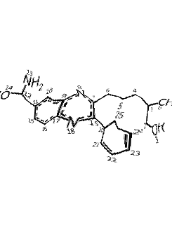 CC(CO)CCCc1nc2cc(C(N)O)ccc2nc1C1C=CC=CC1